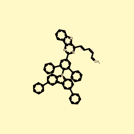 C=C/C=C\C=C\c1nc(-c2cc(-c3ccccc3)c(-n3c4ccc(-c5ccccc5)cc4c4cc(-c5ccccc5)ccc43)c(-c3ccccc3)c2)nc2c1oc1ccccc12